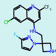 Fc1ccn(C2(CNc3cc(C(F)(F)F)nc4ccc(Cl)cc34)CNC2)n1